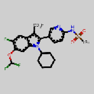 CC(C)(C)S(=O)(=O)Nc1ccc(-c2c(C(=O)O)c3cc(F)c(OC(F)F)cc3n2C2CCCCC2)cn1